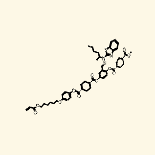 C=CC(=O)OCCCCCCOc1ccc(OC(=O)[C@H]2CC[C@H](C(=O)Oc3ccc(OC(=O)[C@H]4CC[C@H](C(=O)OC)CC4)c(/C=N/N(c4nc5ccccc5s4)C(C)CCCC)c3)CC2)cc1